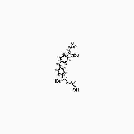 CCC(C)N(CCC1CC1O)c1ccc(Cc2ccc(N(CC3CO3)C(C)CC)cc2)cc1